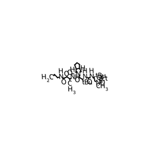 C=CCNC(=O)C(=O)C(C)NC(=O)[C@@H]1[C@H]2CCC[C@H]2CN1C(=O)[C@@H](NC(=O)N[C@H](CN(C)S(=O)(=O)CC)C(C)(C)C)C(C)(C)C